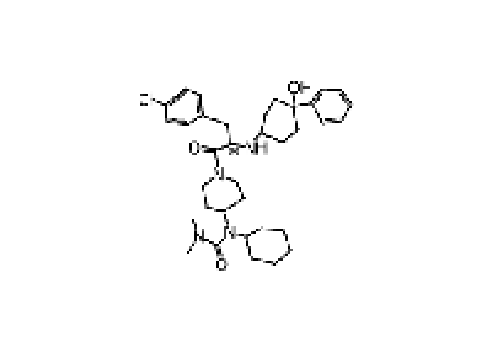 CN(C)C(=O)N(C1CCCCC1)C1CCN(C(=O)[C@@H](Cc2ccc(Cl)cc2)N[C@H]2CC[C@](O)(c3ccccc3)CC2)CC1